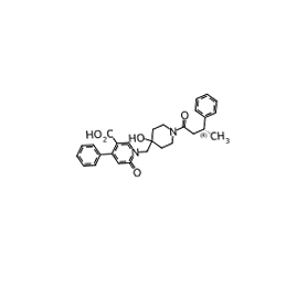 C[C@H](CC(=O)N1CCC(O)(Cn2cc(C(=O)O)c(-c3ccccc3)cc2=O)CC1)c1ccccc1